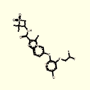 Cc1c(C(=O)NC2CS(=O)(=O)C2(C)C)nc2ccc(Oc3ncc(Cl)cc3OCC(F)F)cn12